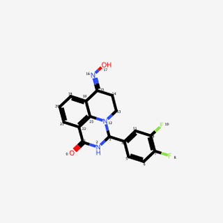 O=C1NC(c2ccc(F)c(F)c2)N2CCC(=NO)c3cccc1c32